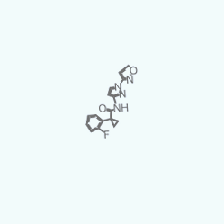 O=C(Nc1ccn(-c2ccon2)n1)C1(c2ccccc2F)CC1